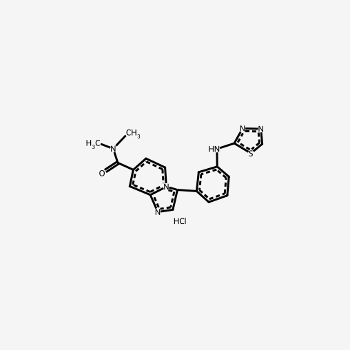 CN(C)C(=O)c1ccn2c(-c3cccc(Nc4nncs4)c3)cnc2c1.Cl